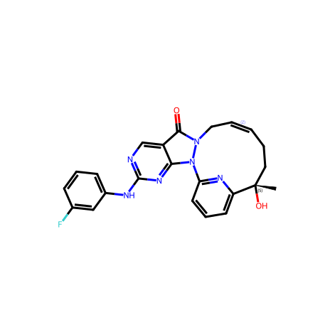 C[C@]1(O)CC/C=C\Cn2c(=O)c3cnc(Nc4cccc(F)c4)nc3n2-c2cccc1n2